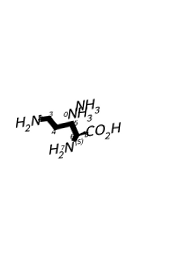 N.N.NCCC[C@H](N)C(=O)O